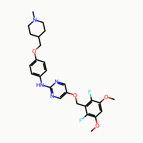 COc1cc(OC)c(F)c(COc2cnc(Nc3ccc(OCC4CCN(C)CC4)cc3)nc2)c1F